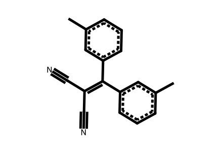 Cc1cccc(C(=C(C#N)C#N)c2cccc(C)c2)c1